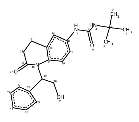 CC(C)(C)NC(=O)Nc1ccc2c(c1)CCC(=O)N2C(CO)c1ccccc1